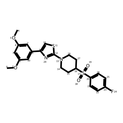 COc1cc(OC)cc(-c2csc(N3CCC(S(=O)(=O)c4ccc(F)cc4)CC3)n2)c1